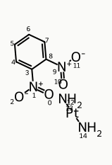 O=[N+]([O-])c1ccccc1[N+](=O)[O-].[NH2][Pt][NH2]